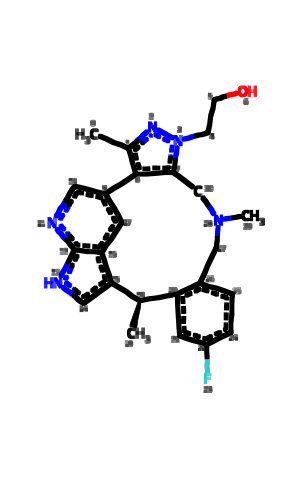 Cc1nn(CCO)c2c1-c1cnc3[nH]cc(c3c1)[C@H](C)c1cc(F)ccc1CN(C)C2